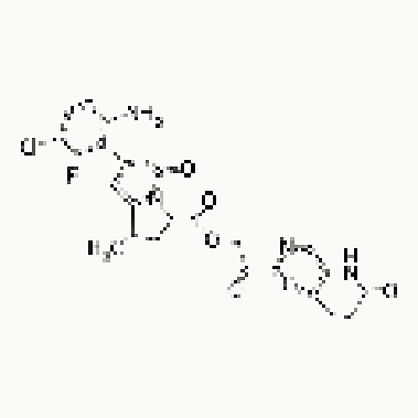 C[C@H]1C[C@@H](C(=O)OCC(=O)c2cc3c(cn2)NC(=O)CC3)n2c1cc(-c1c(N)ccc(Cl)c1F)cc2=O